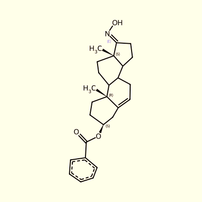 C[C@]12CC[C@H](OC(=O)c3ccccc3)CC1=CCC1C2CC[C@]2(C)/C(=N/O)CCC12